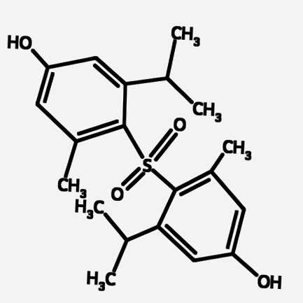 Cc1cc(O)cc(C(C)C)c1S(=O)(=O)c1c(C)cc(O)cc1C(C)C